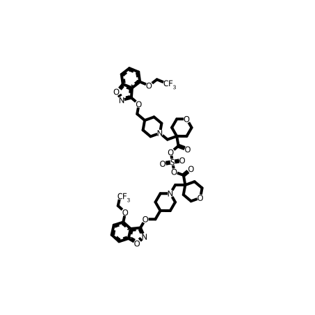 O=C(OS(=O)(=O)OC(=O)C1(CN2CCC(COc3noc4cccc(OCC(F)(F)F)c34)CC2)CCOCC1)C1(CN2CCC(COc3noc4cccc(OCC(F)(F)F)c34)CC2)CCOCC1